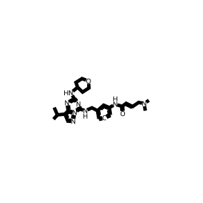 CC(C)c1cnn2c(NCc3cccc(NC(=O)/C=C/CN(C)C)c3)nc(NC3CCOCC3)nc12